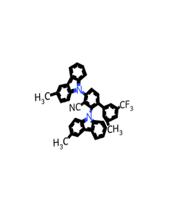 Cc1cc(-c2ccc(-n3c4ccccc4c4cc(C)ccc43)c(C#N)c2-n2c3ccccc3c3cc(C)ccc32)cc(C(F)(F)F)c1